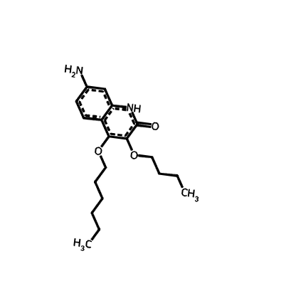 CCCCCCOc1c(OCCCC)c(=O)[nH]c2cc(N)ccc12